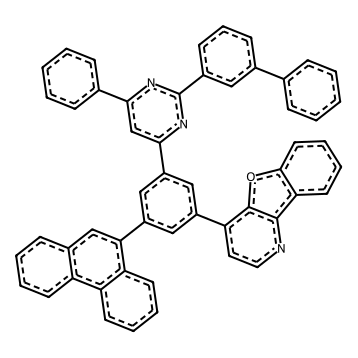 c1ccc(-c2cccc(-c3nc(-c4ccccc4)cc(-c4cc(-c5cc6ccccc6c6ccccc56)cc(-c5ccnc6c5oc5ccccc56)c4)n3)c2)cc1